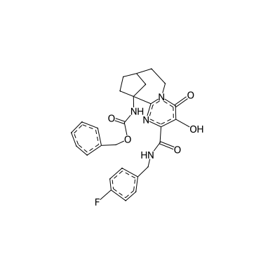 O=C(NC12CCC(CCn3c1nc(C(=O)NCc1ccc(F)cc1)c(O)c3=O)C2)OCc1ccccc1